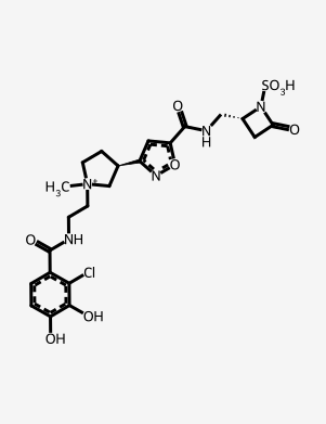 C[N+]1(CCNC(=O)c2ccc(O)c(O)c2Cl)CC[C@@H](c2cc(C(=O)NC[C@H]3CC(=O)N3S(=O)(=O)O)on2)C1